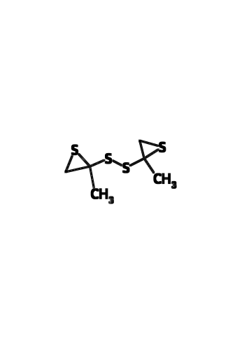 CC1(SSC2(C)CS2)CS1